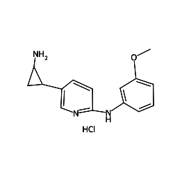 COc1cccc(Nc2ccc(C3CC3N)cn2)c1.Cl